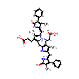 CC1=C(c2ccccc2)/C(=C/c2[nH]c(Cc3[nH]c(/C=C4\NC(=O)C(c5ccccc5)=C4C)c(C)c3CCC(=O)O)c(CCC(=O)O)c2C)NC1=O